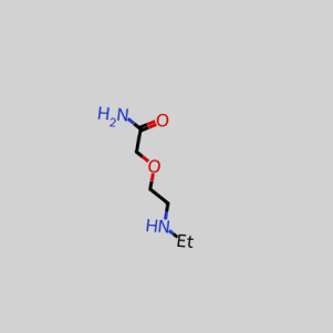 CCNCCOCC(N)=O